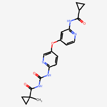 CC1(C(=O)NC(=O)Nc2ccc(Oc3ccnc(NC(=O)C4CC4)c3)cn2)CC1